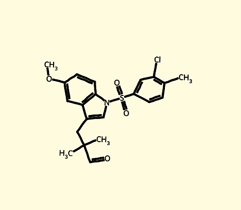 COc1ccc2c(c1)c(CC(C)(C)C=O)cn2S(=O)(=O)c1ccc(C)c(Cl)c1